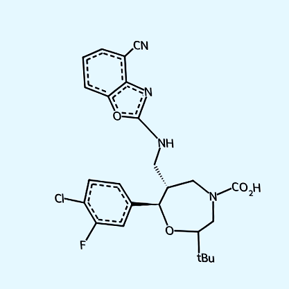 CC(C)(C)C1CN(C(=O)O)C[C@@H](CNc2nc3c(C#N)cccc3o2)[C@H](c2ccc(Cl)c(F)c2)O1